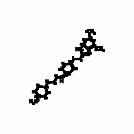 Cc1cc(C)c2nc(CCc3cnc(NCCCC4CCN(C)CC4)nc3)[nH]c2c1